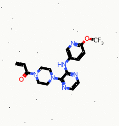 C=CC(=O)N1CCN(c2nccnc2Nc2ccc(OC(F)(F)F)nc2)CC1